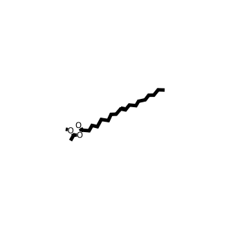 CCCCCCCC/C=C/CCCCCCCC(=O)OC(C)OC